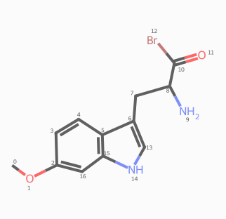 COc1ccc2c(CC(N)C(=O)Br)c[nH]c2c1